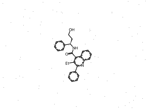 CCc1c(-c2ccccc2)nc2ccccc2c1C(=O)N[C@H](CCO)c1ccccc1